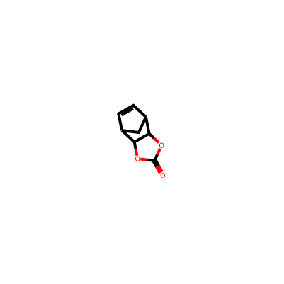 O=C1OC2C3C=CC(C3)C2O1